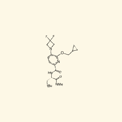 CNC(=O)[C@H](CC(C)(C)C)NC(=O)c1ccc(N2CC(F)(F)C2)c(OCC2CC2)n1